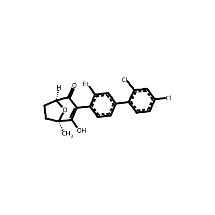 CCc1cc(-c2ccc(Cl)cc2Cl)ccc1C1=C(O)[C@@]2(C)CC[C@H](O2)C1=O